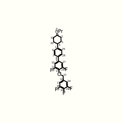 CCCC1CCC(c2ccc(-c3cc(F)c(OCc4cc(F)c(F)c(F)c4)c(F)c3)cc2)CC1